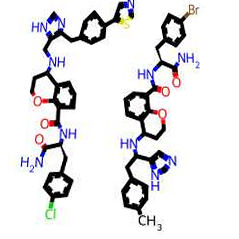 Cc1ccc(CC(NC2CCOc3c(C(=O)N[C@@H](Cc4ccc(Br)cc4)C(N)=O)cccc32)c2cnc[nH]2)cc1.NC(=O)[C@H](Cc1ccc(Cl)cc1)NC(=O)c1cccc2c1OCCC2NCc1[nH]cnc1Cc1ccc(-c2cncs2)cc1